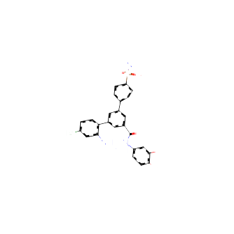 Nc1cc(Br)ccc1-c1cc(C(=O)Nc2ccc(O)c(O)c2)cc(-c2ccc(S(N)(=O)=O)cc2)c1